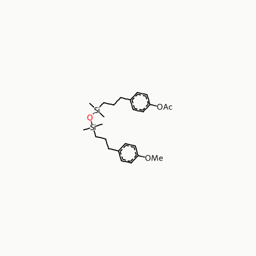 COc1ccc(CCC[Si](C)(C)O[Si](C)(C)CCCc2ccc(OC(C)=O)cc2)cc1